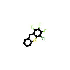 Fc1c(F)c(Cl)c2c(c1F)Cc1ccccc1S2